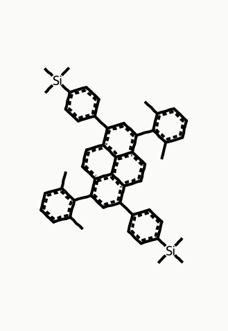 Cc1cccc(C)c1-c1cc(-c2ccc([Si](C)(C)C)cc2)c2ccc3c(-c4c(C)cccc4C)cc(-c4ccc([Si](C)(C)C)cc4)c4ccc1c2c43